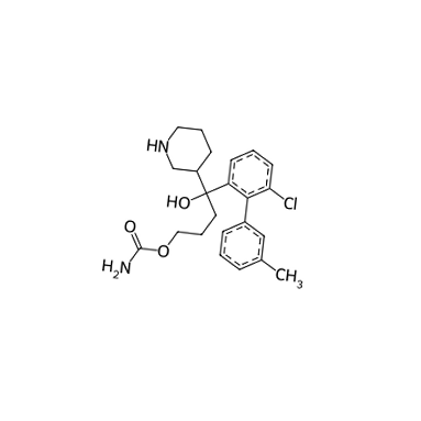 Cc1cccc(-c2c(Cl)cccc2C(O)(CCCOC(N)=O)C2CCCNC2)c1